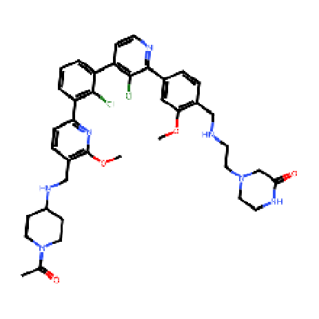 COc1cc(-c2nccc(-c3cccc(-c4ccc(CNC5CCN(C(C)=O)CC5)c(OC)n4)c3Cl)c2Cl)ccc1CNCCN1CCNC(=O)C1